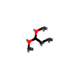 CCCCO[CH](OCCCC)[Sn][CH2]CCC